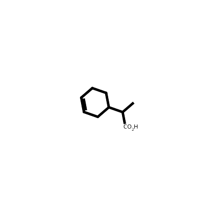 CC(C(=O)O)C1CC=CCC1